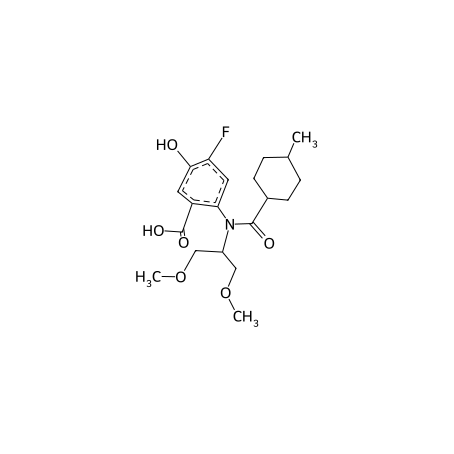 COCC(COC)N(C(=O)C1CCC(C)CC1)c1cc(F)c(O)cc1C(=O)O